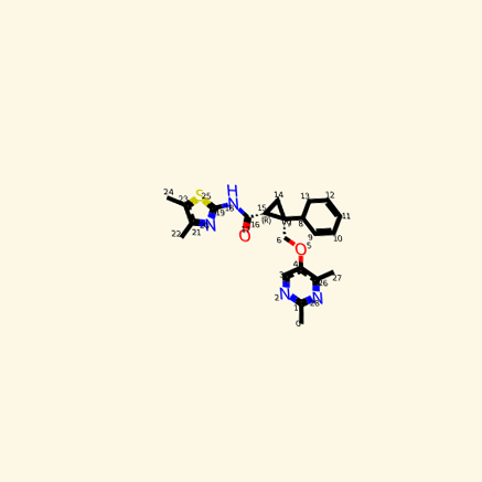 Cc1ncc(OC[C@@]2(C3C=CC=CC3)C[C@H]2C(=O)Nc2nc(C)c(C)s2)c(C)n1